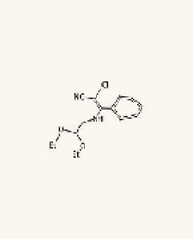 CCOC(CNC(=C(Cl)C#N)c1ccccc1)OCC